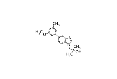 COc1cc(C)cc(-c2ccc3c(c2)ncn3CC(C)(C)O)c1